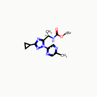 Cc1cnc(-n2nc(C3CC3)nc2[C@H](C)NC(=O)OC(C)(C)C)cn1